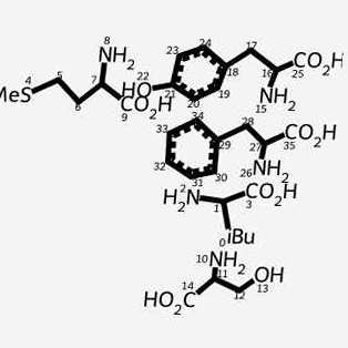 CCC(C)C(N)C(=O)O.CSCCC(N)C(=O)O.NC(CO)C(=O)O.NC(Cc1ccc(O)cc1)C(=O)O.NC(Cc1ccccc1)C(=O)O